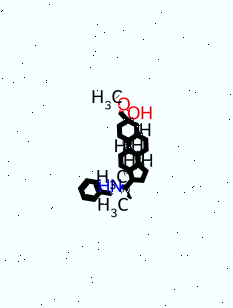 CC[C@@H](NCc1ccccc1)C1CC[C@H]2[C@@H]3CC[C@@H]4C[C@@](O)(COC)CC[C@@H]4[C@H]3CC[C@]12C